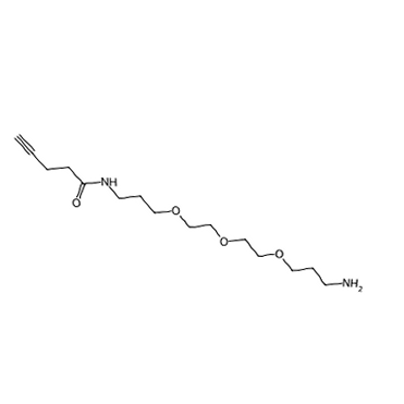 C#CCCC(=O)NCCCOCCOCCOCCCN